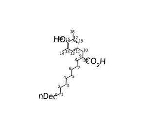 CCCCCCCCCCCCCCCCCCC(Cc1cc(C)c(O)c(C)c1)C(=O)O